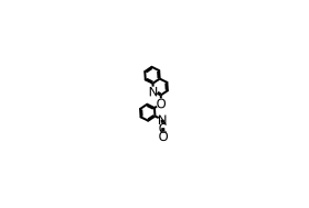 O=C=Nc1ccccc1Oc1ccc2ccccc2n1